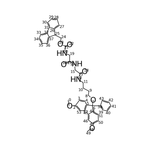 COc1ccc(C(OCCCCNC(=O)CNC(=O)CNC(=O)OCC2c3ccccc3-c3ccccc32)(c2ccccc2)c2ccc(OC)cc2)cc1